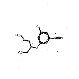 CCC(COC)Oc1cc(Br)cc(C#N)c1